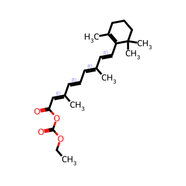 CCOC(=O)OC(=O)/C=C(C)/C=C/C=C(C)/C=C/C1=C(C)CCCC1(C)C